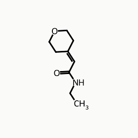 CCNC(=O)C=C1CCOCC1